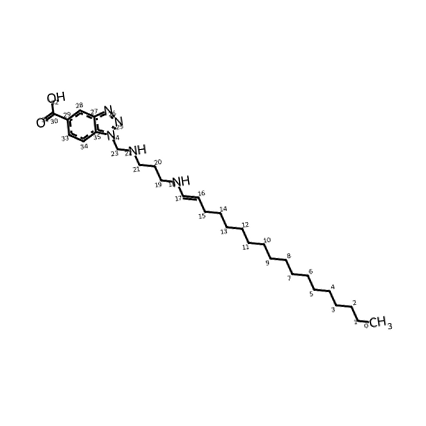 CCCCCCCCCCCCCCCCC=CNCCCNCn1nnc2cc(C(=O)O)ccc21